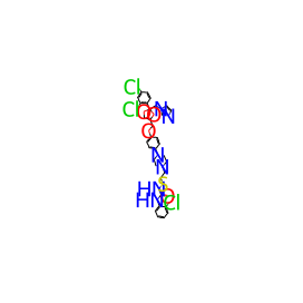 O=C(NSCCN1CCN(c2ccc(OCC3COC(Cn4ccnc4)(c4ccc(Cl)cc4Cl)O3)cc2)CC1)Nc1ccccc1Cl